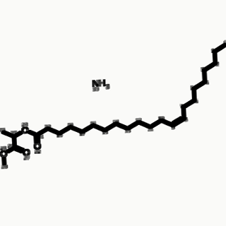 CCCCCCCC/C=C\CCCCCCCCCCCC(=O)OC(C)C(=O)OC.N